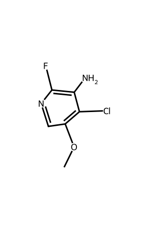 COc1cnc(F)c(N)c1Cl